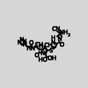 C[C@@H](NC(=O)Cn1cnnn1)[C@H]1C(=O)N2C(C(O)O)=C(S[C@@H]3CN[C@H](C(=O)N4CC(N)(CC#N)C4)C3)[C@H](C)[C@H]12